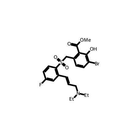 CCN(CC)CC=Cc1cc(F)ccc1S(=O)(=O)Cc1ccc(Br)c(O)c1C(=O)OC